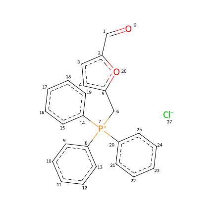 O=Cc1ccc(C[P+](c2ccccc2)(c2ccccc2)c2ccccc2)o1.[Cl-]